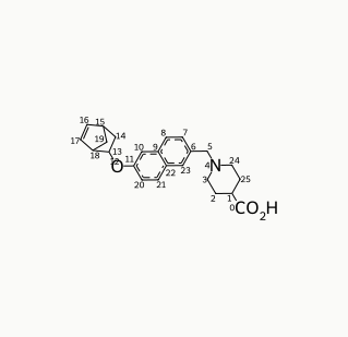 O=C(O)C1CCN(Cc2ccc3cc(OC4CC5C=CC4C5)ccc3c2)CC1